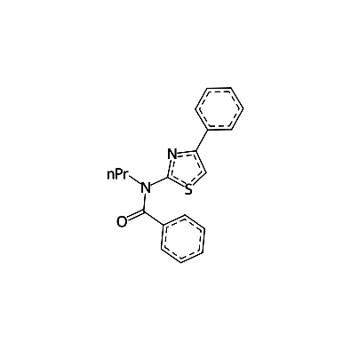 CCCN(C(=O)c1ccccc1)c1nc(-c2ccccc2)cs1